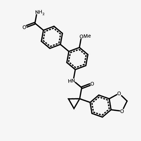 COc1ccc(NC(=O)C2(c3ccc4c(c3)OCO4)CC2)cc1-c1ccc(C(N)=O)cc1